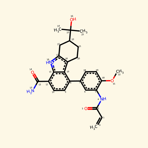 C=CC(=O)Nc1cc(-c2ccc(C(N)=O)c3[nH]c4c(c23)CCC(C(C)(C)O)C4)ccc1OC